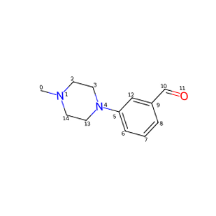 CN1CCN(c2cccc(C=O)c2)CC1